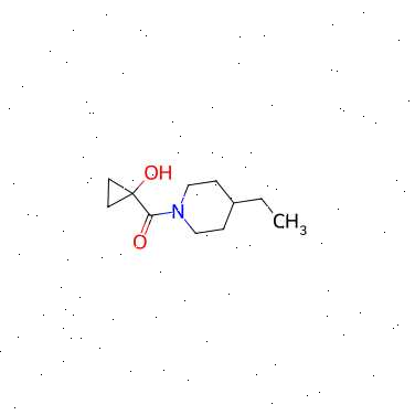 CCC1CCN(C(=O)C2(O)CC2)CC1